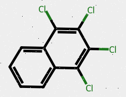 Clc1c(Cl)c(Cl)c2ccccc2c1Cl